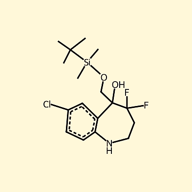 CC(C)(C)[Si](C)(C)OCC1(O)c2cc(Cl)ccc2NCCC1(F)F